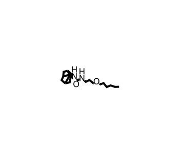 CCCCCCOCCCNC(=O)NC12CC3CC(CC(C3)C1)C2